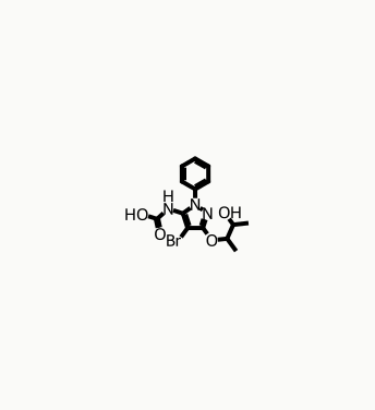 CC(O)C(C)Oc1nn(-c2ccccc2)c(NC(=O)O)c1Br